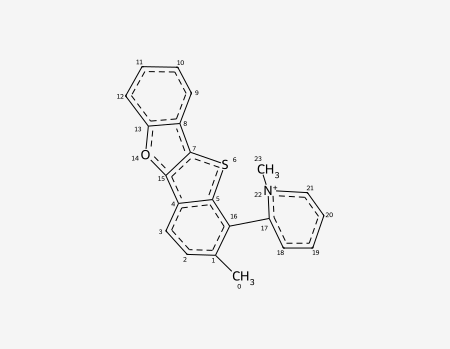 Cc1ccc2c(sc3c4ccccc4oc23)c1-c1cccc[n+]1C